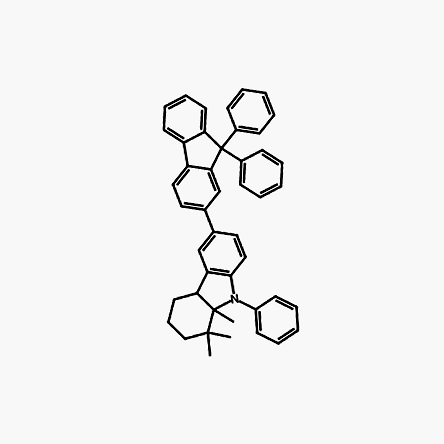 CC1(C)CCCC2c3cc(-c4ccc5c(c4)C(c4ccccc4)(c4ccccc4)c4ccccc4-5)ccc3N(c3ccccc3)C21C